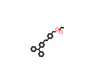 C=CC(=O)OCCc1ccc(C=Cc2ccc(C(c3ccccc3)c3ccccc3)cc2)cc1